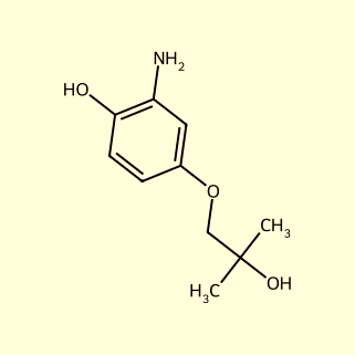 CC(C)(O)COc1ccc(O)c(N)c1